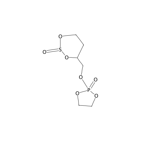 O=S1OCCC(COP2(=O)OCCO2)O1